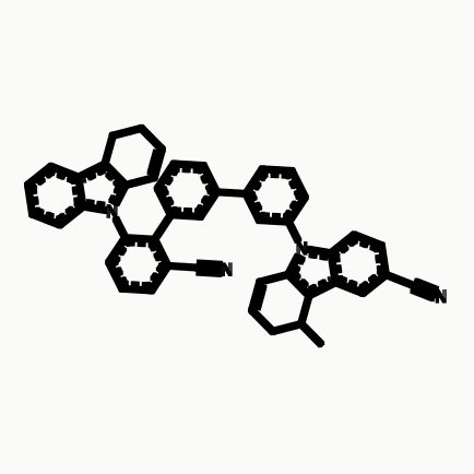 CC1CC=Cc2c1c1cc(C#N)ccc1n2-c1cccc(-c2cccc(-c3c(C#N)cccc3-n3c4c(c5ccccc53)CCC=C4)c2)c1